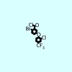 O=C(Cl)c1cc(Oc2ccc(C(F)(F)F)cc2Cl)ccc1Br